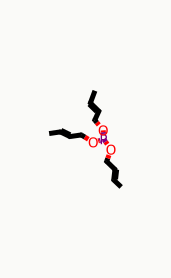 CC=CCOP(OCC=CC)OCC=CC